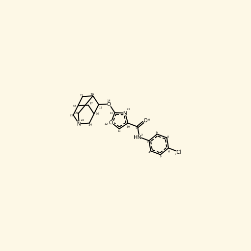 O=C(Nc1ccc(Cl)cc1)c1coc(OC2C3CC4CC2CN(C4)C3)n1